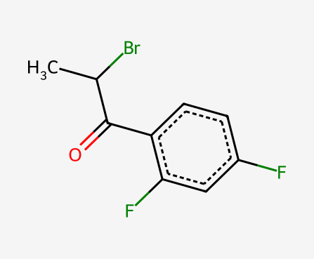 CC(Br)C(=O)c1ccc(F)cc1F